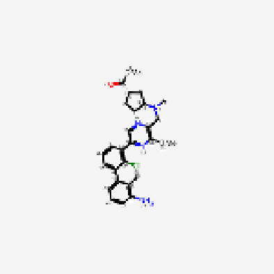 COC(=O)[C@H]1CC[C@H](N(C)Cc2ncc(-c3cccc(-c4cccc(N)c4C)c3Cl)nc2OC)C1